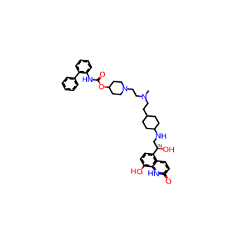 CN(CCC1CCC(NC[C@@H](O)c2ccc(O)c3[nH]c(=O)ccc23)CC1)CCN1CCC(OC(=O)Nc2ccccc2-c2ccccc2)CC1